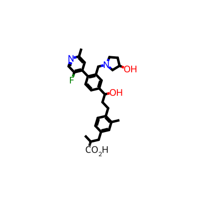 Cc1cc(-c2ccc(C(O)CCc3ccc(CC(C)C(=O)O)cc3C)cc2CN2CCC(O)C2)c(F)cn1